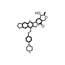 C=C1OCc2c(cc3n(c2=O)Cc2c-3nc3cc4c(cc3c2CCc2ccc(N3CCSCC3)cc2)CCC4)C1O